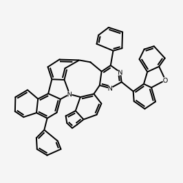 c1ccc(-c2nc(-c3cccc4oc5ccccc5c34)nc3c2Cc2ccc4c5c6ccccc6c(-c6ccccc6)cc5n(c4c2)-c2c-3ccc3ccccc23)cc1